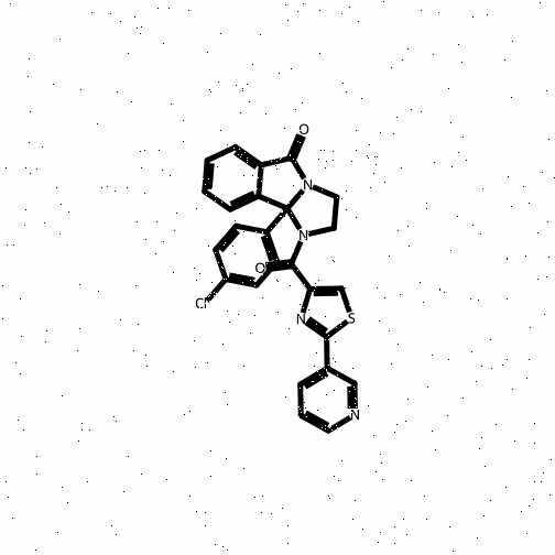 O=C(c1csc(-c2cccnc2)n1)N1CCN2C(=O)c3ccccc3C12c1ccc(Cl)cc1